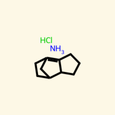 C1CC2=C3CCC(C3)C2C1.Cl.N